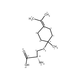 CC(C)=C1CCC(C)(SC[C@H](N)C(=O)O)CC1